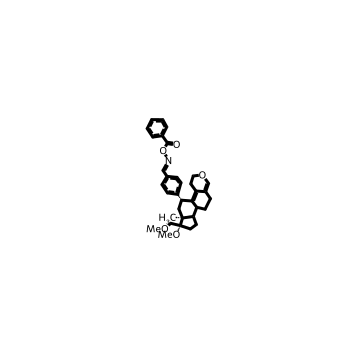 COC[C@]1(OC)CCC2C3CCC4=COCCC4=C3[C@@H](c3ccc(C=NOC(=O)c4ccccc4)cc3)C[C@@]21C